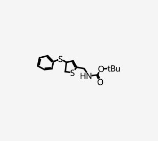 CC(C)(C)OC(=O)NCC1=CC(Sc2ccccc2)CS1